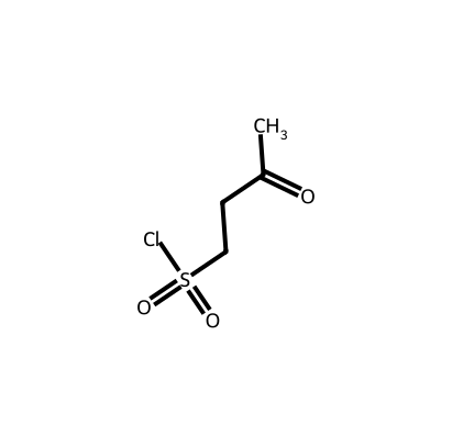 CC(=O)CCS(=O)(=O)Cl